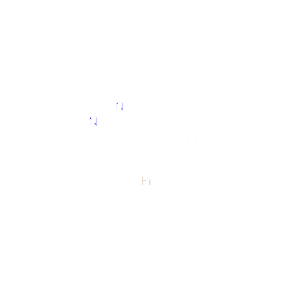 COCc1nn(C)c(C)c1Br